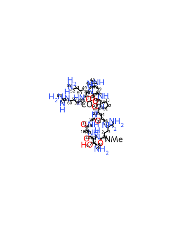 CN[C@@H](CCCCN)C(=O)N[C@H](C(=O)N[C@@H](C)C(=O)NCC(=O)/N=C(\CCCN)C(=O)N1CCC[C@H]1C(=O)N[C@@H](Cc1cnc[nH]1)C(=O)N[C@@H](CCCCN)C(=O)N/C(=C\CCNC(=N)N)C(=O)O)[C@@H](O)CN